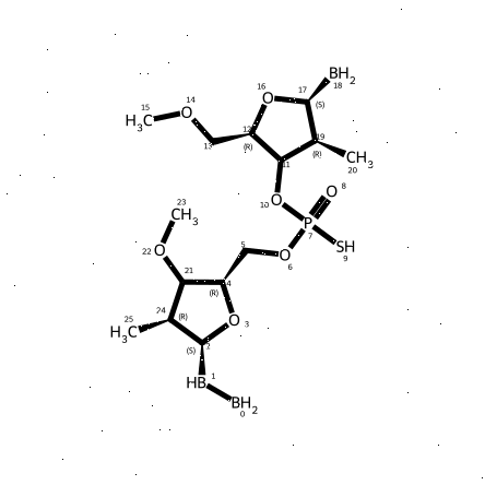 BB[C@@H]1O[C@H](COP(=O)(S)OC2[C@@H](COC)O[C@@H](B)[C@H]2C)C(OC)[C@@H]1C